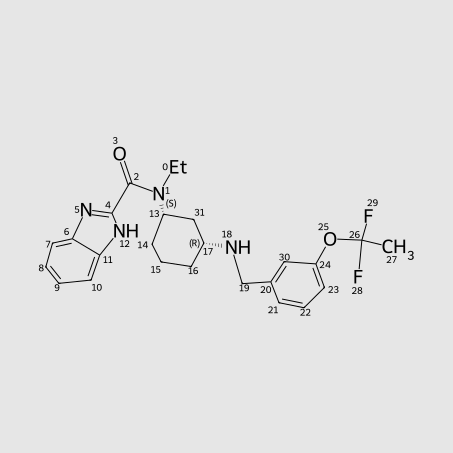 CCN(C(=O)c1nc2ccccc2[nH]1)[C@H]1CCC[C@@H](NCc2cccc(OC(C)(F)F)c2)C1